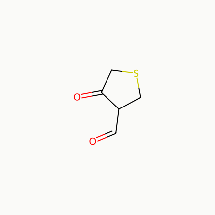 O=CC1CSCC1=O